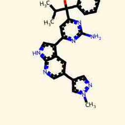 CC(C)C(O)(c1ccccc1)c1cc(-c2c[nH]c3ncc(-c4cnn(C)c4)cc23)nc(N)n1